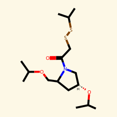 CC(C)OCC1C[C@@H](OC(C)C)CN1C(=O)CSSC(C)C